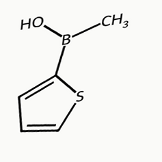 CB(O)c1cccs1